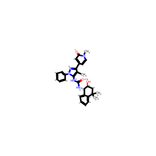 Cc1c(-c2ccn(C)c(=O)c2)nn(-c2ccccc2)c1NC(=O)N[C@H]1c2ccccc2C(C)(C)C[C@@H]1O